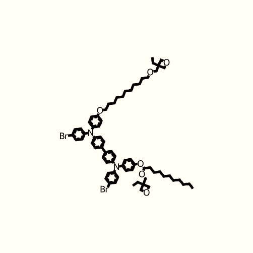 CCCCCCCCCCC(OCC1(CC)COC1)Oc1ccc(N(c2ccc(Br)cc2)c2ccc(-c3ccc(N(c4ccc(Br)cc4)c4ccc(OCCCCCCCCCCCOCC5(CC)COC5)cc4)cc3)cc2)cc1